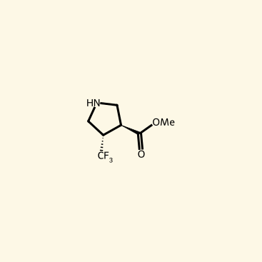 COC(=O)[C@@H]1CNC[C@H]1C(F)(F)F